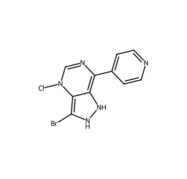 ClN1C=NC(c2ccncc2)=C2NNC(Br)=C21